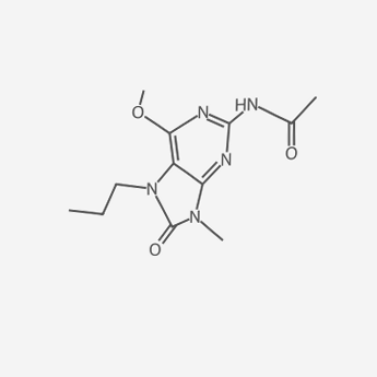 CCCn1c(=O)n(C)c2nc(NC(C)=O)nc(OC)c21